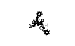 O=C(COc1ccccc1)N[C@H]1C(=O)N2C1CN(C(=O)CBr)C2C(=O)OCc1ccccc1